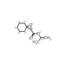 CC(C)OC(=O)C1OC12CCCCC2